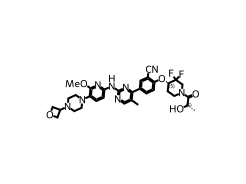 COc1nc(Nc2ncc(C)c(-c3ccc(O[C@H]4CCN(C(=O)[C@H](C)O)CC4(F)F)c(C#N)c3)n2)ccc1N1CCN(C2COC2)CC1